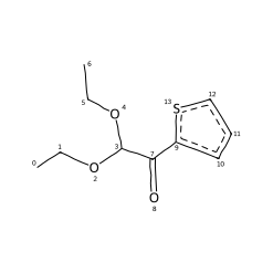 CCOC(OCC)C(=O)c1cccs1